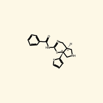 O=C(NC1=NC[C@H]2CNC[C@]2(c2cccs2)S1)c1ccccc1